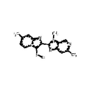 CCSc1c(-c2nc3cc(C(F)(F)F)ncc3n2C)nc2cc(C(F)(F)F)ccn12